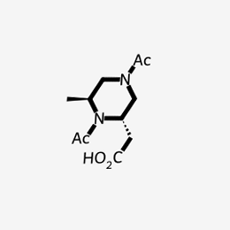 CC(=O)N1C[C@H](CC(=O)O)N(C(C)=O)[C@@H](C)C1